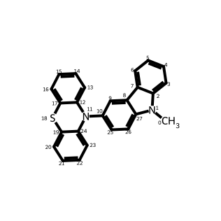 Cn1c2ccccc2c2cc(N3c4ccccc4Sc4ccccc43)ccc21